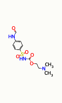 CN(C)CCOC(=O)NS(=O)(=O)c1ccc(NC=O)cc1